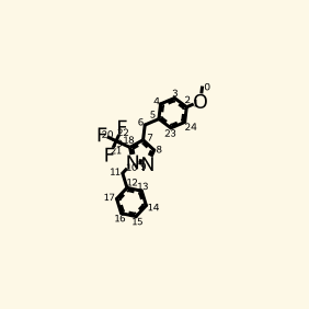 COc1ccc(Cc2cnn(Cc3ccccc3)c2C(F)(F)F)cc1